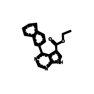 CCOC(=O)c1c[nH]c2ncnc(-c3ccc4ccccc4c3)c12